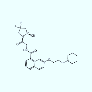 N#C[C@@H]1CC(F)(F)CN1C(=O)CNC(=O)c1ccnc2ccc(OCCCN3CCCCC3)cc12